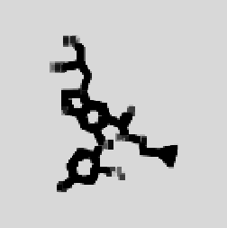 Cc1cc(Cl)ccc1Nc1cc2ncn(CC(O)CO)c2cc1C(=O)NOCC1CC1